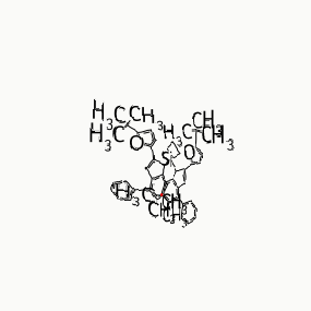 Cc1cc2c(c(-c3ccccc3)c1C)C=C(c1ccc(C(C)(C)C)o1)C2[Si]1(C2C(c3ccc(C(C)(C)C)o3)=Cc3c2cc(C)c(C)c3-c2ccccc2)CCC1